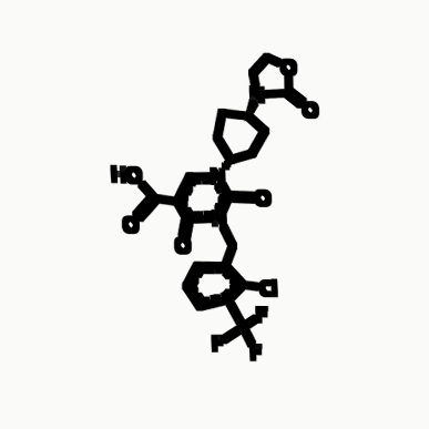 O=C(O)c1cn([C@H]2CC[C@H](N3CCOC3=O)CC2)c(=O)n(Cc2cccc(C(F)(F)F)c2Cl)c1=O